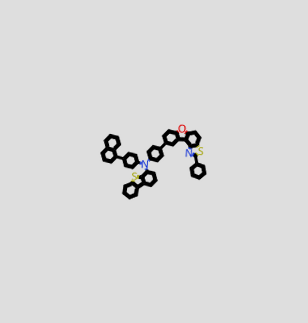 c1ccc(-c2nc3c(ccc4oc5ccc(-c6ccc(N(c7ccc(-c8cccc9ccccc89)cc7)c7cccc8c7sc7ccccc78)cc6)cc5c43)s2)cc1